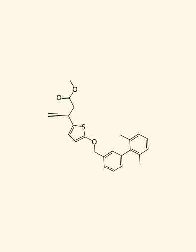 C#CC(CC(=O)OC)c1ccc(OCc2cccc(-c3c(C)cccc3C)c2)s1